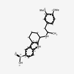 COc1ccc(CC(C)NC2CCCc3c2[nH]c2ccc([N+](=O)O)cc32)cc1OC